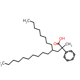 CCCCCCCCCCC(CCCCCCCC)CC(C)(C(=O)O)c1ccccc1